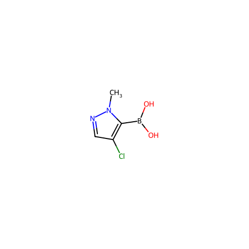 Cn1ncc(Cl)c1B(O)O